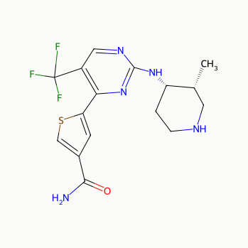 C[C@@H]1CNCC[C@@H]1Nc1ncc(C(F)(F)F)c(-c2cc(C(N)=O)cs2)n1